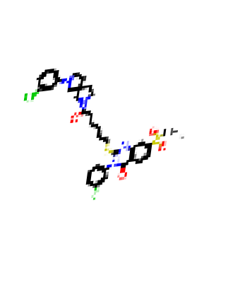 CS(=O)(=O)c1ccc2c(=O)n(-c3cccc(Cl)c3)c(SCCCCCC(=O)N3CCC4(CCN(c5cccc(Cl)c5)C4)C3)nc2c1